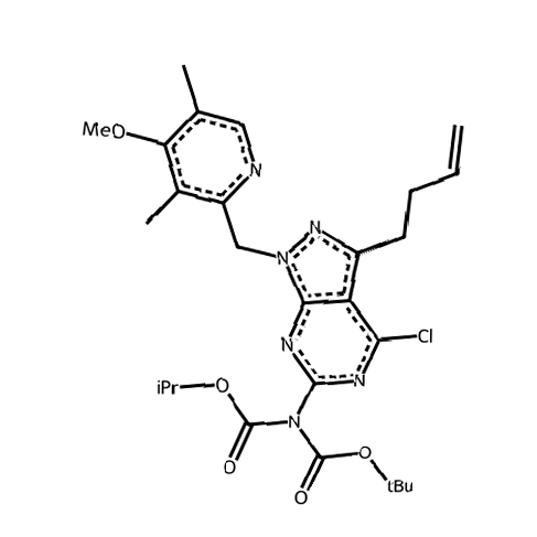 C=CCCc1nn(Cc2ncc(C)c(OC)c2C)c2nc(N(C(=O)OC(C)C)C(=O)OC(C)(C)C)nc(Cl)c12